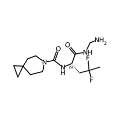 CC(F)(F)C[C@H](NC(=O)N1CCC2(CC1)CC2)C(=O)NCN